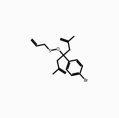 C=CCSOC(CC(=C)C)(CC(=C)C)c1ccc(Br)cc1